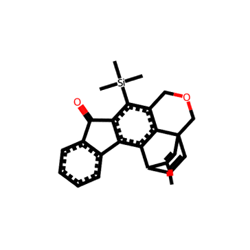 CC1=CC23C=C(C)C1c1c4c(c([Si](C)(C)C)c(c12)COC3)C(=O)c1ccccc1-4